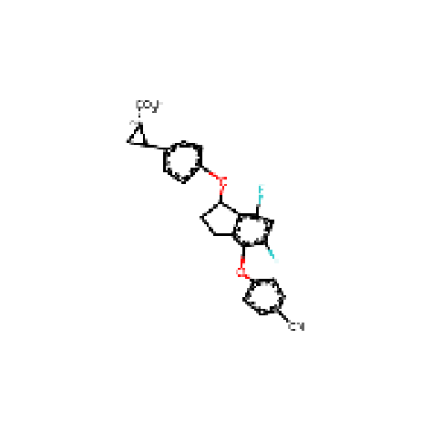 N#Cc1ccc(Oc2c(F)cc(F)c3c2CCC3Oc2ccc(C3C[C@@H]3C(=O)O)cc2)cc1